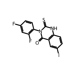 O=c1c2cc(I)ccc2[nH]c(=S)n1-c1ccc(F)cc1F